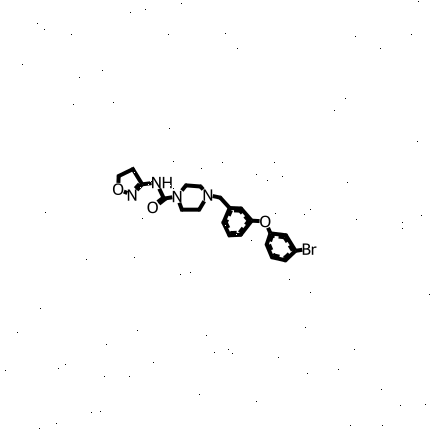 O=C(NC1=NOCC1)N1CCN(Cc2cccc(Oc3cccc(Br)c3)c2)CC1